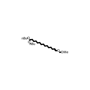 CCCCOC(CCCCCCCCCCCCC=COCOC)OCCCC